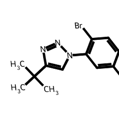 CC(C)(C)c1cn(-c2cc(F)ccc2Br)nn1